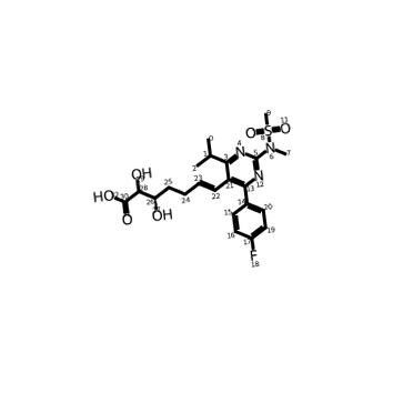 CC(C)c1nc(N(C)S(C)(=O)=O)nc(-c2ccc(F)cc2)c1/C=C/CC[C@@H](O)C(O)C(=O)O